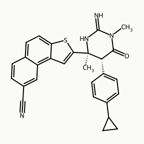 CN1C(=N)N[C@](C)(c2cc3c(ccc4ccc(C#N)cc43)s2)[C@@H](c2ccc(C3CC3)cc2)C1=O